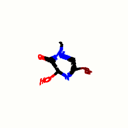 Cn1cc(Br)nc(O)c1=O